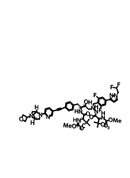 COC(=O)N[C@H](C(=O)N[C@@H](Cc1ccc(C#Cc2ccc(N3C[C@H]4C[C@@H]3CN4C3COC3)nc2)cc1)[C@@H](O)CN(Cc1c(F)cc(-c2ccn(CC(F)F)n2)cc1F)NC(=O)[C@@H](NC(=O)OC)C(C)(C)C(F)(F)F)C(C)(C)C(F)(F)F